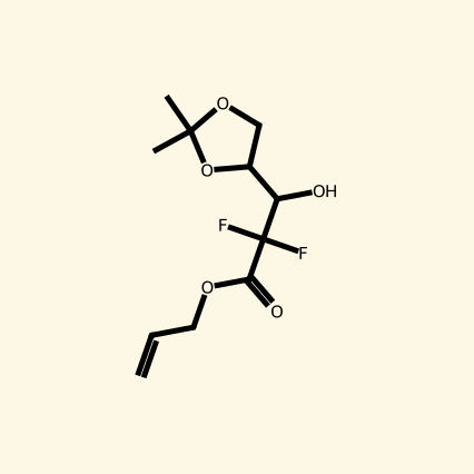 C=CCOC(=O)C(F)(F)C(O)C1COC(C)(C)O1